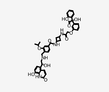 CC(C)Oc1cc(C(=O)NC2CC(NC(=O)COc3cccc([C@](O)(C(=O)O)c4ccccc4)c3)C2)ccc1CNC[C@H](O)c1ccc(O)c2[nH]c(=O)ccc12